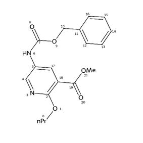 CCCOc1ncc(NC(=O)OCc2ccccc2)cc1C(=O)OC